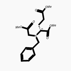 COC(=O)CC[C@H](C(=O)OC)N(CC(=O)OC)Cc1ccccc1